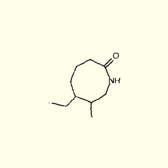 [CH2]CC1CCCC(=O)NCC1C